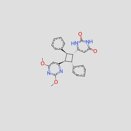 COc1cc([C@H]2[C@@H](c3ccccc3)[C@H](c3cc(=O)[nH]c(=O)[nH]3)[C@@H]2c2ccccc2)nc(OC)n1